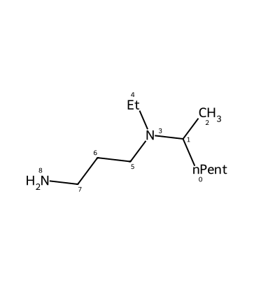 CCCCCC(C)N(CC)CCCN